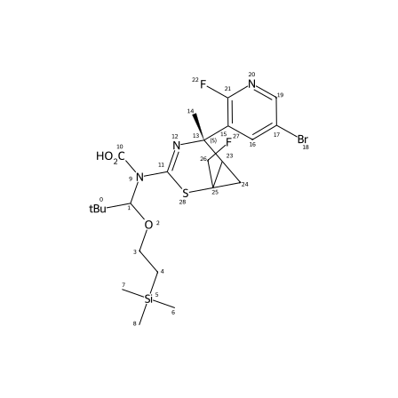 CC(C)(C)C(OCC[Si](C)(C)C)N(C(=O)O)C1=N[C@](C)(c2cc(Br)cnc2F)C2CC2(CF)S1